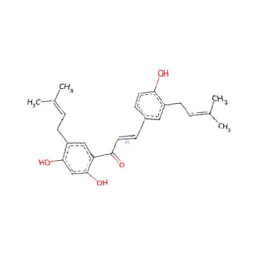 CC(C)=CCc1cc(/C=C/C(=O)c2cc(CC=C(C)C)c(O)cc2O)ccc1O